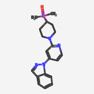 CP(C)(=O)C1CCN(c2cc(-n3ncc4ccccc43)ccn2)CC1